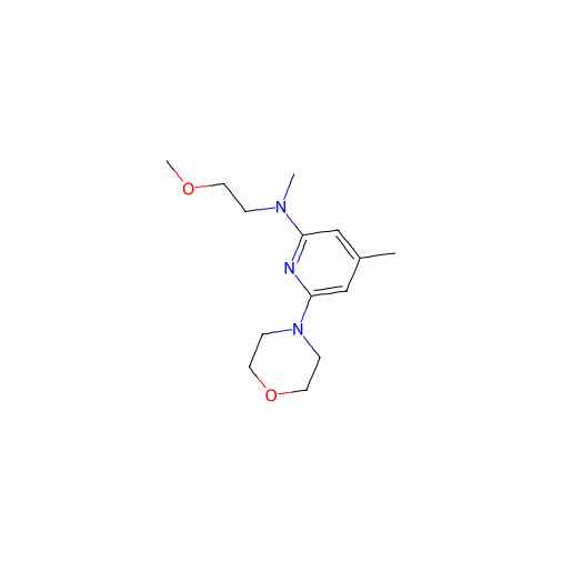 COCCN(C)c1cc(C)cc(N2CCOCC2)n1